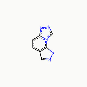 C1=N[N]c2c1ccc1nncn21